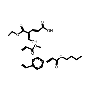 C=CC(=O)OC.C=CC(=O)OCCCC.C=Cc1ccccc1.CCOC(=O)C(C=CC(=O)O)=CO